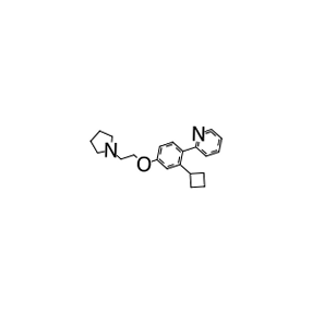 c1ccc(-c2ccc(OCCN3CCCC3)cc2C2CCC2)nc1